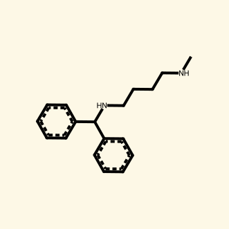 CNCCCCNC(c1ccccc1)c1ccccc1